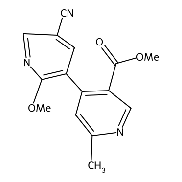 COC(=O)c1cnc(C)cc1-c1cc(C#N)cnc1OC